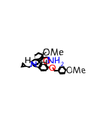 COc1ccc(COc2ccc3c4c2OC2[C@@]5(OC)CC[C@@]6(C[C@@H]5CN)[C@@H](C3)N(CC3CC3)CC[C@]426)cc1